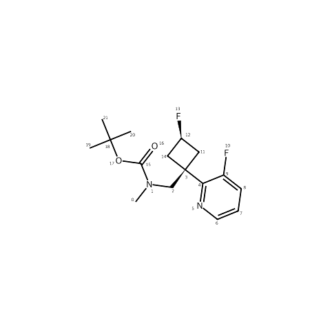 CN(C[C@]1(c2ncccc2F)C[C@H](F)C1)C(=O)OC(C)(C)C